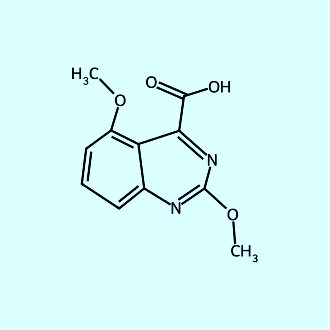 COc1nc(C(=O)O)c2c(OC)cccc2n1